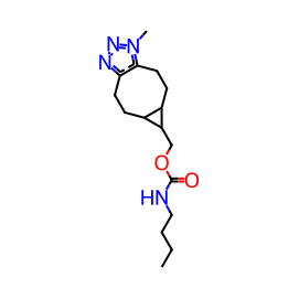 CCCCNC(=O)OCC1C2CCc3nnn(C)c3CCC21